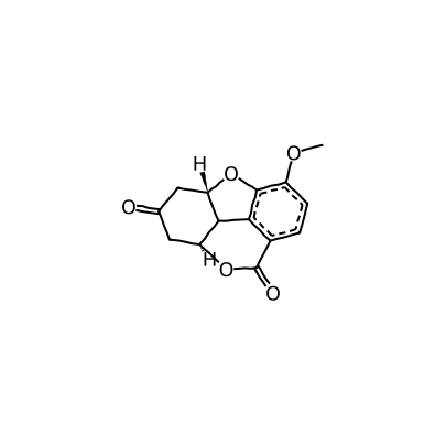 COc1ccc2c3c1O[C@H]1CC(=O)C[C@H](OC2=O)C31